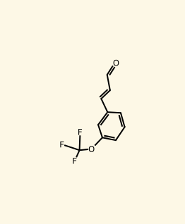 O=CC=Cc1cccc(OC(F)(F)F)c1